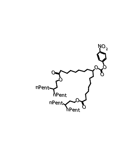 CCCCCC(CCCCC)CCOC(=O)CCCCCCCC(CCCCCCCC(=O)OCCC(CCCCC)CCCCC)OC(=O)Oc1ccc([N+](=O)[O-])cc1